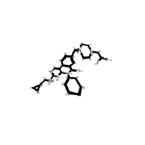 O=c1c2cc(CN3CCN(CC(F)F)CC3)ccc2c2cnc(NCC3CC3)nc2n1C1CCCCC1